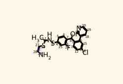 CC(NSc1ccc(C(O)c2ccc(Cl)cc2-c2cccnc2)c(F)c1)S/C=C\N